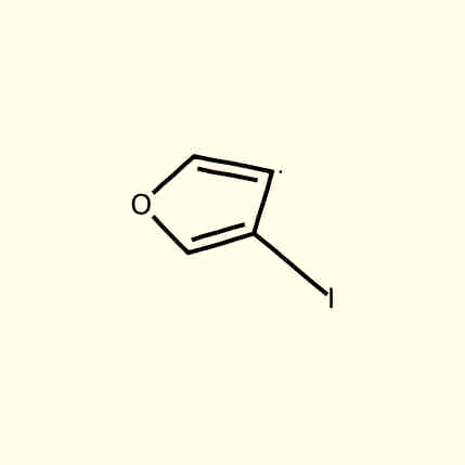 Ic1[c]coc1